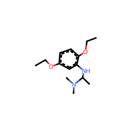 CCOc1ccc(OCC)c(NC(C)N(C)C)c1